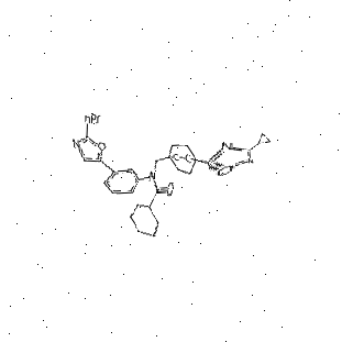 CCCc1ncc(-c2cccc(N(CC34CCC(c5nc(C6CC6)no5)(CC3)CC4)C(=O)C3CCCCC3)c2)o1